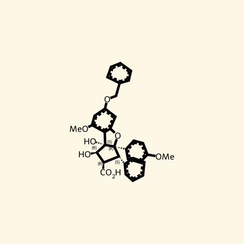 COc1ccc([C@@]23Oc4cc(OCc5ccccc5)cc(OC)c4[C@]2(O)[C@H](O)[C@H](C(=O)O)[C@H]3c2ccccc2)cc1